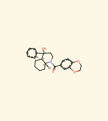 O=C(c1ccc2c(c1)OCCO2)N1CC[C@@](O)(c2ccccc2)[C@@H]2CCCC[C@H]21